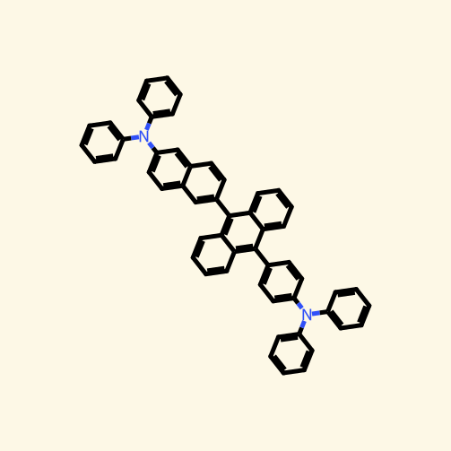 c1ccc(N(c2ccccc2)c2ccc(-c3c4ccccc4c(-c4ccc5cc(N(c6ccccc6)c6ccccc6)ccc5c4)c4ccccc34)cc2)cc1